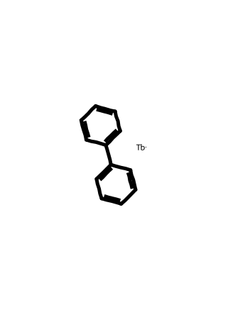 [Tb].c1ccc(-c2ccccc2)cc1